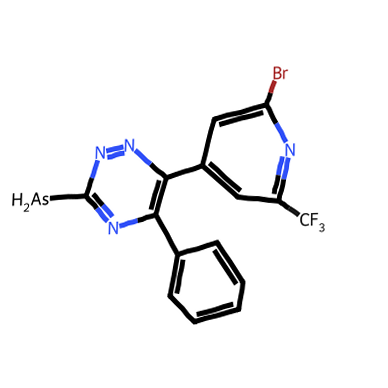 FC(F)(F)c1cc(-c2nnc([AsH2])nc2-c2ccccc2)cc(Br)n1